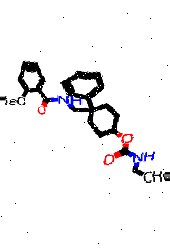 COc1ccccc1C(=O)NCC1(c2ccccc2)CCC(OC(=O)NCC=O)CC1